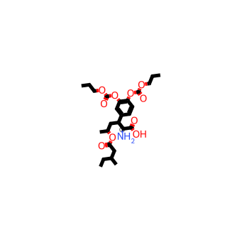 CCCOC(=O)Oc1ccc(C(CC(C)OC(=O)CC(C)CC)[C@H](N)C(=O)O)cc1OC(=O)OCCC